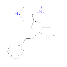 CC[Si](CCc1ccccc1)(CC(C)(CN(C)C)CN(C)C)OC